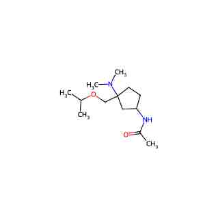 CC(=O)NC1CCC(COC(C)C)(N(C)C)C1